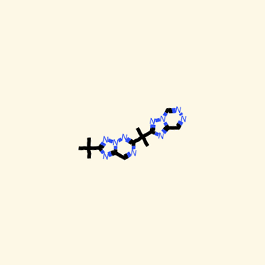 CC(C)(C)c1nc2cnc(C(C)(C)c3nc4cnncn4n3)nn2n1